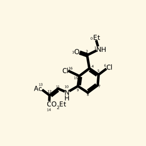 CCNC(=O)c1c(Cl)ccc(NC=C(C(C)=O)C(=O)OCC)c1Cl